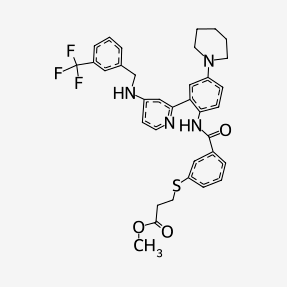 COC(=O)CCSc1cccc(C(=O)Nc2ccc(N3CCCCC3)cc2-c2cc(NCc3cccc(C(F)(F)F)c3)ccn2)c1